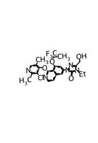 CCn1c(CO)nn(-c2cc(O[C@@H](C)C(F)(F)F)c3c(Oc4c(C)cnc(C)c4Cl)nccc3c2)c1=O